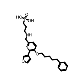 O=P(O)(O)CCCNCc1ccc(OCCCCCc2ccccc2)c(-c2ccoc2)n1